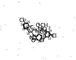 CC(NC(=O)C(C)(C)Oc1cc(Cl)cc(Cl)c1)C(Cc1ccc(Cl)cc1)c1noc2ccccc12